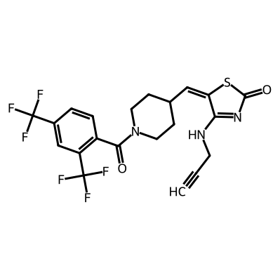 C#CCNC1=NC(=O)SC1=CC1CCN(C(=O)c2ccc(C(F)(F)F)cc2C(F)(F)F)CC1